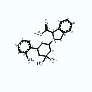 CC1(C)CC(c2ccncc2N)CC(N2Cc3ccccc3C2C(=O)C=O)C1